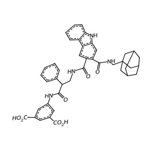 O=C(O)c1cc(NC(=O)C(CNC(=O)c2cc3c(cc2C(=O)NCC24CC5CC(CC(C5)C2)C4)[nH]c2ccccc23)c2ccccc2)cc(C(=O)O)c1